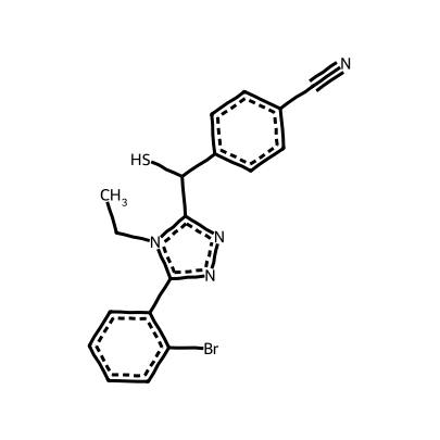 CCn1c(-c2ccccc2Br)nnc1C(S)c1ccc(C#N)cc1